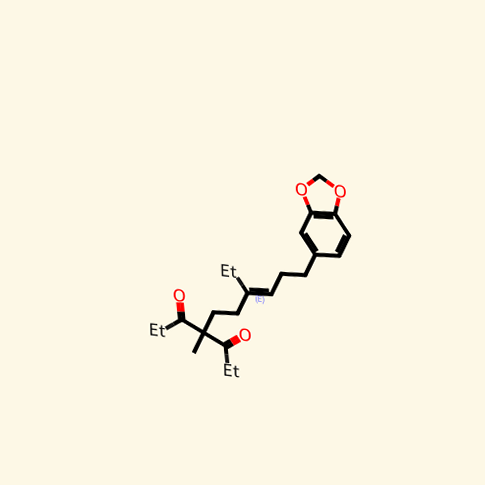 CCC(=O)C(C)(CC/C(=C/CCc1ccc2c(c1)OCO2)CC)C(=O)CC